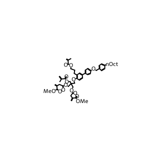 C=C(C)C(=O)OCCCc1cc(-c2ccc(OCc3ccc(CCCCCCCC)cc3)cc2)ccc1OCC(COC(=O)CC(=C)C(=O)OC)(COC(=O)CC(=C)C(=O)OC)COC(=O)C(=C)C